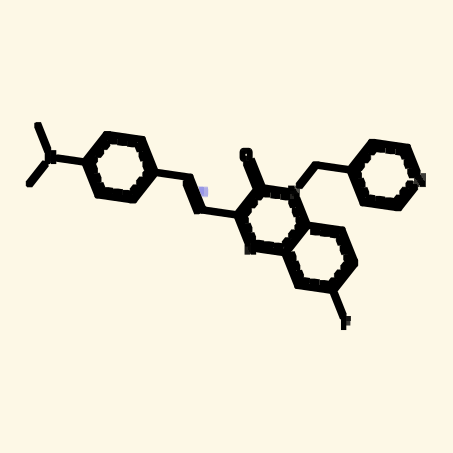 CN(C)c1ccc(/C=C/c2nc3cc(F)ccc3n(Cc3ccncc3)c2=O)cc1